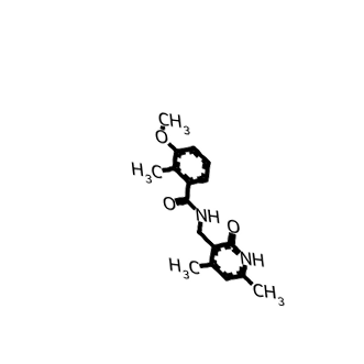 COc1cccc(C(=O)NCc2c(C)cc(C)[nH]c2=O)c1C